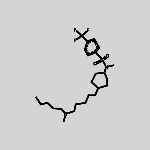 CCCCCN(C)CCCCCC1CCC(N(C)S(=O)(=O)c2ccc(C(F)(F)F)cc2)CC1